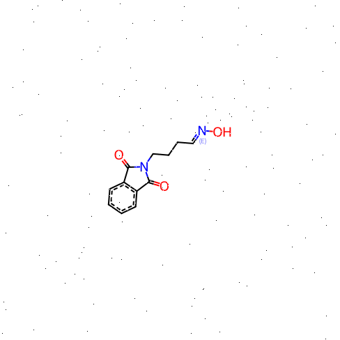 O=C1c2ccccc2C(=O)N1CCC/C=N/O